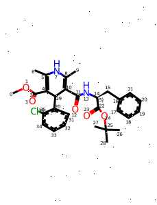 COC(=O)C1=C(C)NC(C)=C(C(=O)N[C@@H](Cc2ccccc2)C(=O)OC(C)(C)C)C1c1ccccc1Cl